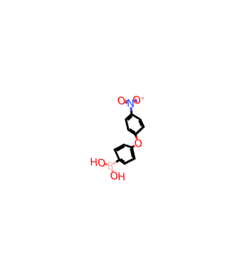 O=[N+]([O-])c1ccc(Oc2ccc(B(O)O)cc2)cc1